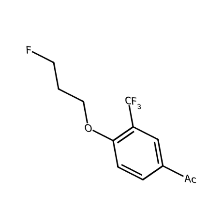 CC(=O)c1ccc(OCCCF)c(C(F)(F)F)c1